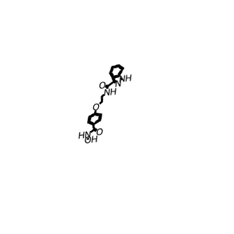 O=C(NO)c1ccc(OCCNC(=O)c2n[nH]c3ccccc23)cc1